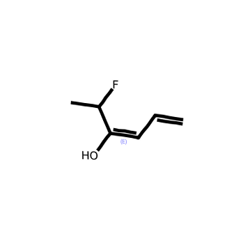 C=C/C=C(/O)C(C)F